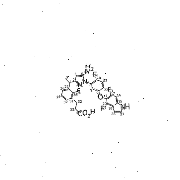 CC(c1cc(N)n(-c2cc(Oc3c(F)cc4[nH]ccc4c3F)ccc2F)n1)c1cccc(CCC(=O)O)c1F